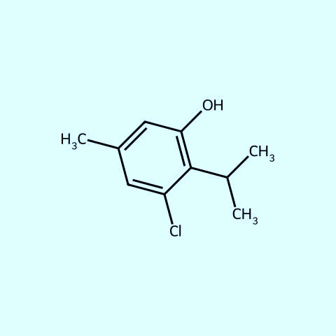 Cc1cc(O)c(C(C)C)c(Cl)c1